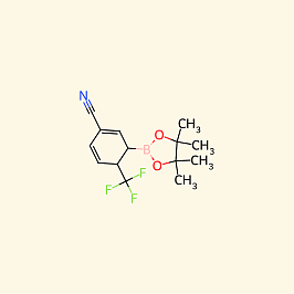 CC1(C)OB(C2C=C(C#N)C=CC2C(F)(F)F)OC1(C)C